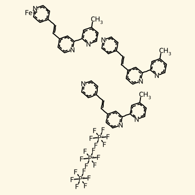 Cc1ccnc(-c2cc(C=Cc3ccncc3)ccn2)c1.Cc1ccnc(-c2cc(C=Cc3ccncc3)ccn2)c1.Cc1ccnc(-c2cc(C=Cc3ccncc3)ccn2)c1.F[P-](F)(F)(F)(F)F.F[P-](F)(F)(F)(F)F.F[P-](F)(F)(F)(F)F.[Fe+3]